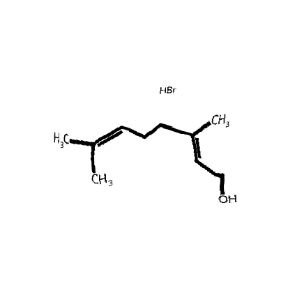 Br.CC(C)=CCCC(C)=CCO